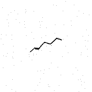 [CH2]C=CCCCC